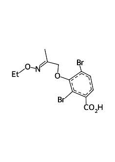 CCON=C(C)COc1c(Br)ccc(C(=O)O)c1Br